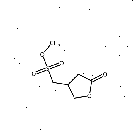 COS(=O)(=O)CC1COC(=O)C1